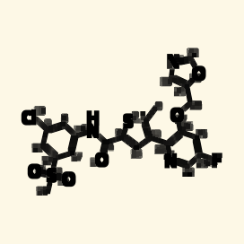 Cc1sc(C(=O)Nc2cc(Cl)cc(S(C)(=O)=O)c2)cc1-c1ncc(F)cc1OCc1cnco1